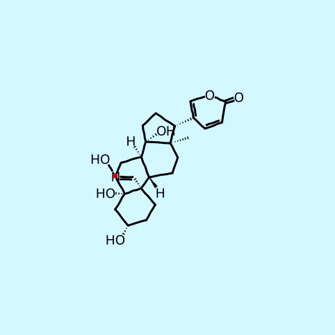 C[C@]12CC[C@H]3[C@@H](CC[C@]4(O)C[C@@H](O)CC[C@]34/C=N/O)[C@@]1(O)CC[C@@H]2c1ccc(=O)oc1